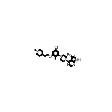 Cc1c(OCCC2CCN(C)CC2)cc(Cl)cc1N1CCN(c2ncnc3[nH]nc(Br)c23)CC1